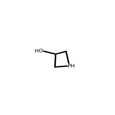 OC1CPC1